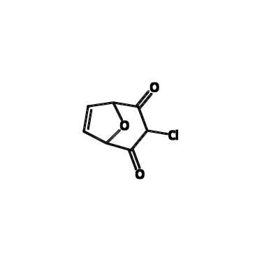 O=C1C2C=CC(O2)C(=O)C1Cl